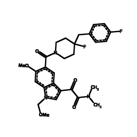 COCn1cc(C(=O)C(=O)N(C)C)c2cc(C(=O)N3CCC(F)(Cc4ccc(F)cc4)CC3)c(OC)cc21